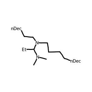 CCCCCCCCCCCCCCN(CCCCCCCCCCCC)C(CC)N(C)C